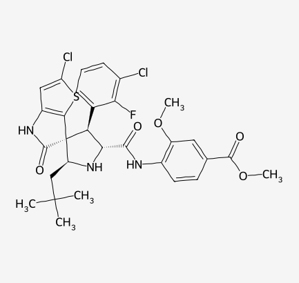 COC(=O)c1ccc(NC(=O)[C@@H]2N[C@@H](CC(C)(C)C)[C@]3(C(=O)Nc4cc(Cl)sc43)[C@H]2c2cccc(Cl)c2F)c(OC)c1